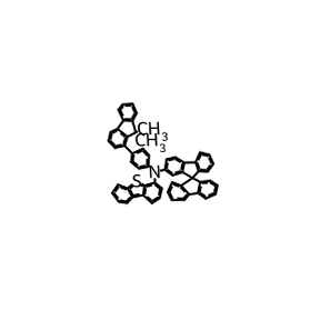 CC1(C)c2ccccc2-c2cccc(-c3ccc(N(c4ccc5c(c4)C4(c6ccccc6-c6ccccc64)c4ccccc4-5)c4cccc5c4sc4ccccc45)cc3)c21